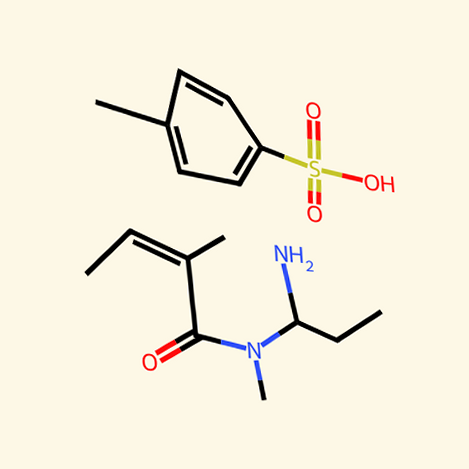 CC=C(C)C(=O)N(C)C(N)CC.Cc1ccc(S(=O)(=O)O)cc1